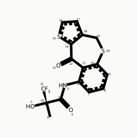 C[C@](O)(C(=O)Nc1cccc2c1C(=O)c1sccc1CS2)C(F)(F)F